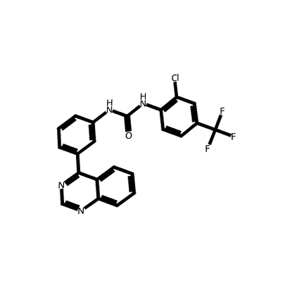 O=C(Nc1cccc(-c2ncnc3ccccc23)c1)Nc1ccc(C(F)(F)F)cc1Cl